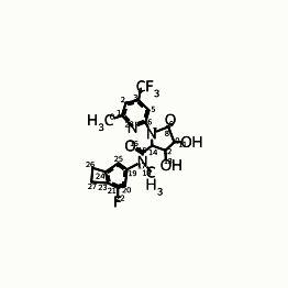 Cc1cc(C(F)(F)F)cc(N2C(=O)C(O)C(O)C2C(=O)N(C)c2cc(F)c3c(c2)CC3)n1